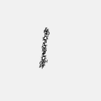 O=C(Nc1ccc(N=Nc2cc3sc(N=Nc4ccc(NC(=O)C(F)(F)F)cc4)nc3s2)cc1)C(F)(F)F